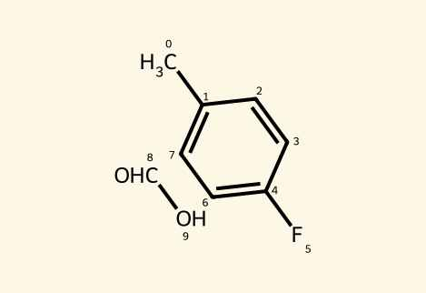 Cc1ccc(F)cc1.O=CO